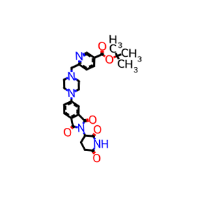 CC(C)(C)OC(=O)c1ccc(CN2CCN(c3ccc4c(c3)C(=O)N(C3CCC(=O)NC3=O)C4=O)CC2)nc1